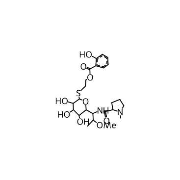 COC(C)C(NC(=O)C1CCCN1C)C1OC(SCCOC(=O)c2ccccc2O)C(O)C(O)C1O